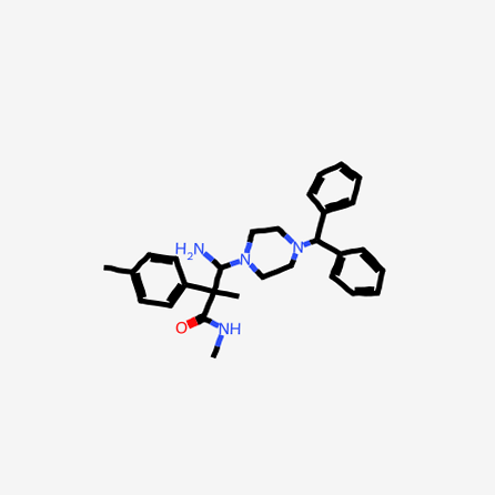 CNC(=O)C(C)(c1ccc(C)cc1)C(N)N1CCN(C(c2ccccc2)c2ccccc2)CC1